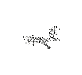 C=C1C[C@H]2C=Nc3cc(OCCCP(=O)(CCCO)CCCOc4cc5c(cc4OC)C(=O)N4CC(=C)C[C@H]4C(C)N5)c(OC)cc3C(=O)N2C1